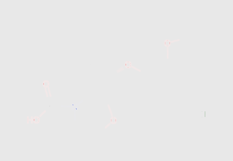 COc1cc(Cl)ccc1O[C@@H](c1ccccc1)[C@]1(C(C)(C)C)CN(C(=O)O)CCO1